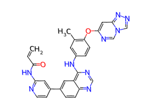 C=CC(=O)Nc1cc(-c2ccc3ncnc(Nc4ccc(Oc5cc6nncn6cn5)c(C)c4)c3c2)ccn1